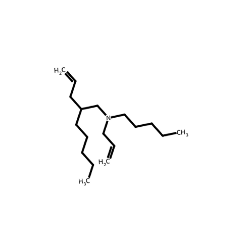 C=CCC(CCCCC)CN(CC=C)CCCCC